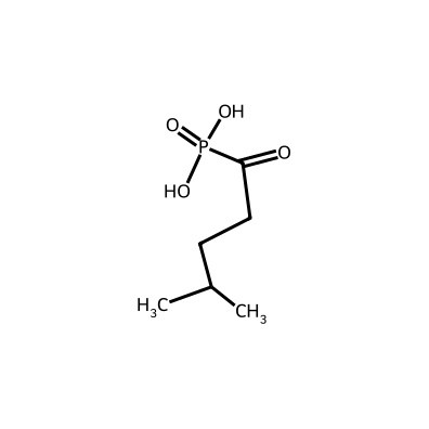 CC(C)CCC(=O)P(=O)(O)O